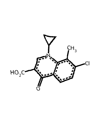 Cc1c(Cl)ccc2c(=O)c(C(=O)O)cn(C3CC3)c12